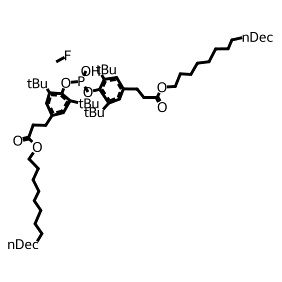 CCCCCCCCCCCCCCCCCCOC(=O)CCc1cc(C(C)(C)C)c(OP(O)Oc2c(C(C)(C)C)cc(CCC(=O)OCCCCCCCCCCCCCCCCCC)cc2C(C)(C)C)c(C(C)(C)C)c1.CF